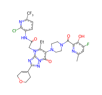 CCc1c(N2CCN(C(=O)c3nc(C)cc(F)c3O)CC2)c(=O)n2nc(C3=CCOCC3)nc2n1CC(=O)Nc1ccc(C(F)(F)F)nc1Cl